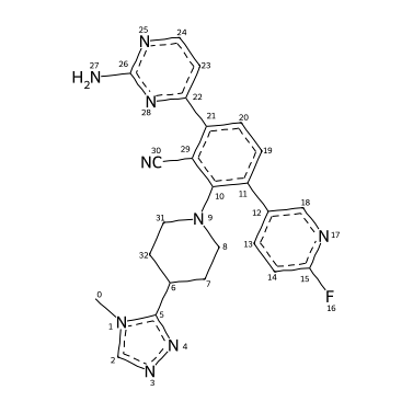 Cn1cnnc1C1CCN(c2c(-c3ccc(F)nc3)ccc(-c3ccnc(N)n3)c2C#N)CC1